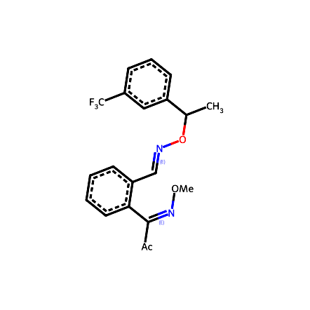 CO/N=C(/C(C)=O)c1ccccc1/C=N/OC(C)c1cccc(C(F)(F)F)c1